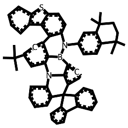 CC(C)(C)c1cc2c3c(c1)N1c4ccccc4C4(c5ccccc5-c5ccccc54)c4cccc(c41)B3N(c1ccc3c(c1)C(C)(C)CCC3(C)C)c1ccc3sc4ccccc4c3c1-2